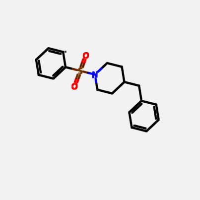 O=S(=O)(c1[c]cccc1)N1CCC(Cc2ccccc2)CC1